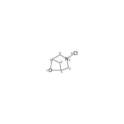 ClN1CC2CC(C1)O2